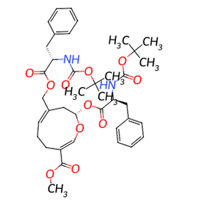 COC(=O)/C1=C/O[C@@H](OC(=O)[C@H](Cc2ccccc2)NC(=O)OC(C)(C)C)C/C(COC(=O)[C@H](Cc2ccccc2)NC(=O)OC(C)(C)C)=C\CC1